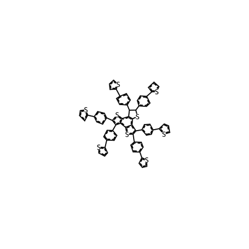 c1csc(-c2ccc(-c3sc4c(c5c(c6sc(-c7ccc(-c8cccs8)cc7)c(-c7ccc(-c8cccs8)cc7)c64)C(c4ccc(-c6cccs6)cc4)C(c4ccc(-c6cccs6)cc4)S5)c3-c3ccc(-c4cccs4)cc3)cc2)c1